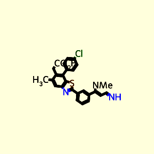 CN/C(=C\C=N)c1cccc(-c2nc3cc(C)c(CC(=O)O)c(-c4ccc(Cl)cc4)c3s2)c1